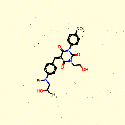 CCN(CC(C)O)c1ccc(C=C2C(=O)N(CCO)C(=O)N(c3ccc([N+](=O)[O-])cc3)C2=O)cc1